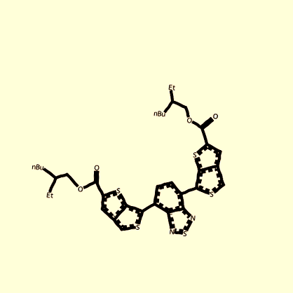 CCCCC(CC)COC(=O)c1cc2csc(-c3ccc(-c4scc5cc(C(=O)OCC(CC)CCCC)sc45)c4nsnc34)c2s1